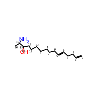 C=CCCC=CCCCCCCCC(O)C(C)N